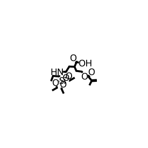 C=C(C)C(=O)OCCC(CC(=O)NC(CC)[Si](OCC)(OCC)OCC)C(=O)O